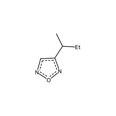 CCC(C)c1cnon1